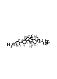 COc1cc(OCCOC(F)(F)F)ccc1Nc1ccnc2cc(C3CCN(C)CC3)ccc12